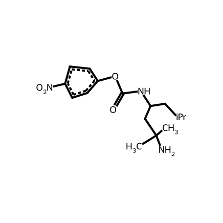 CC(C)CC(CC(C)(C)N)NC(=O)Oc1ccc([N+](=O)[O-])cc1